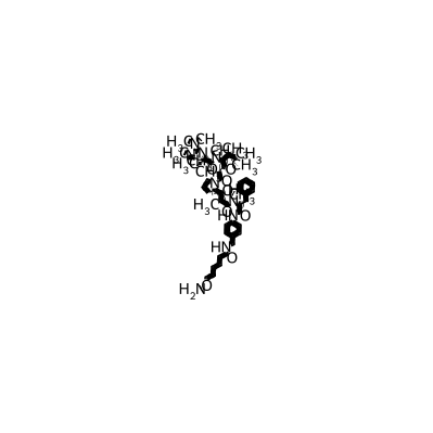 CC[C@H](C)[C@@H]([C@@H](CC(=O)N1CCC[C@H]1[C@H](OC)[C@@H](C)C(=O)N[C@@H](Cc1ccccc1)C(=O)Nc1ccc(CNC(=O)CCCCCON)cc1)OC)N(C)C(=O)[C@@H](N=C(N(C)C)N(C)C)C(C)C